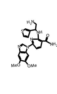 COc1cc2ncn(-c3ccc(C(N)=O)c(NC(CN)c4ccsc4)n3)c2cc1OC